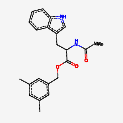 CNC(=O)NC(Cc1c[nH]c2ccccc12)C(=O)OCc1cc(C)cc(C)c1